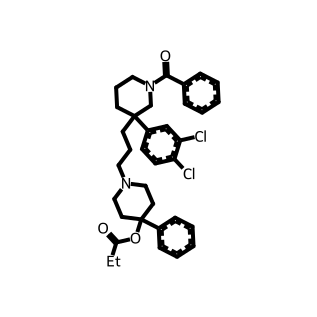 CCC(=O)OC1(c2ccccc2)CCN(CCCC2(c3ccc(Cl)c(Cl)c3)CCCN(C(=O)c3ccccc3)C2)CC1